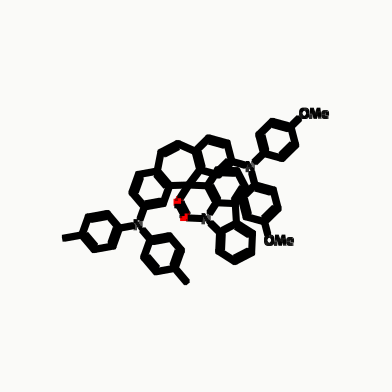 COc1ccc(N(c2ccc(OC)cc2)c2ccc3c(c2)C2(c4cc(N(c5ccc(C)cc5)c5ccc(C)cc5)ccc4C=C3)c3ccccc3-n3c4ccccc4c4cccc2c43)cc1